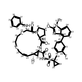 CC(C)n1c(O[C@@H]2C[C@H]3C(=O)N[C@]4(C(=O)NS(=O)(=O)C5(C)CC5)C[C@H]4/C=C\CCCCC[C@H](Nc4ccccc4)C(=O)N3C2)nc2c(-c3cccc(F)c3)cccc21